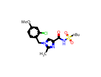 CCCCS(=O)(=O)NC(=O)c1cn(Cc2ccc(OC)cc2Cl)c(C)n1